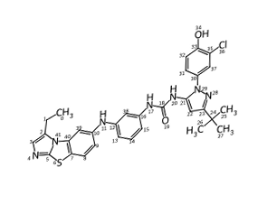 CCc1cnc2sc3ccc(Nc4cccc(NC(=O)Nc5cc(C(C)(C)C)nn5-c5ccc(O)c(Cl)c5)c4)cc3n12